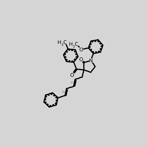 COc1ccccc1N1CCC(C/C=C/C=C/c2ccccc2)(C(=O)c2ccc(C)cc2)C1=O